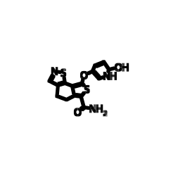 NC(=O)c1sc(OC2=CNC(O)C=C2)c2c1CCc1cnsc1-2